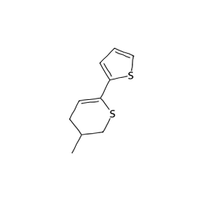 CC1CC=C(c2cccs2)SC1